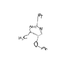 Cc1nc(C(C)C)ncc1OC(C)C